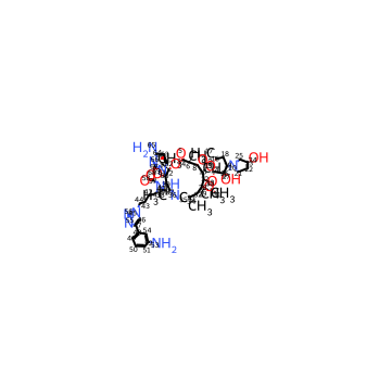 CC[C@H]1OC(=O)[C@H](C)C(=O)[C@H](C)[C@@H](O[C@@H]2O[C@H](C)CC(N3CC[C@@H](O)C3)C2O)[C@](C)(OC)C[C@@H](C)CN[C@H](C)[C@H]2N(CCCCn3cc(-c4cccc(N)c4)nn3)C(=O)O[C@]12n1ccc(N)nc1=O